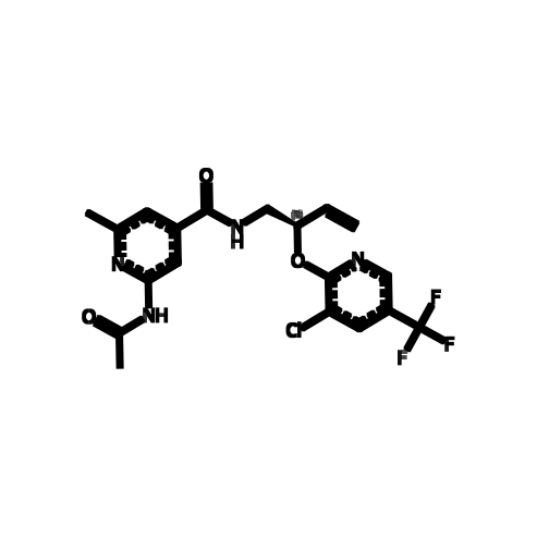 C=C[C@H](CNC(=O)c1cc(C)nc(NC(C)=O)c1)Oc1ncc(C(F)(F)F)cc1Cl